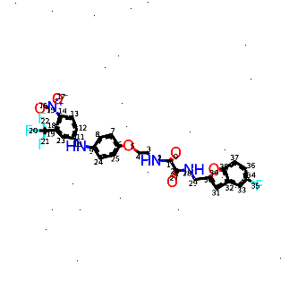 O=C(NCCOc1ccc(Nc2ccc([N+](=O)[O-])c(C(F)(F)F)c2)cc1)C(=O)NCc1cc2cc(F)ccc2o1